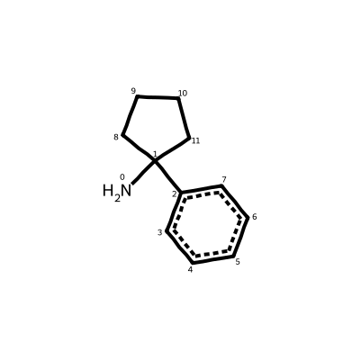 NC1(c2ccccc2)CCCC1